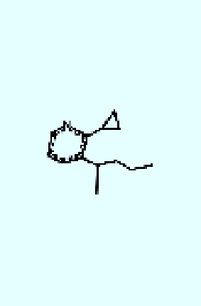 CCCC(C)c1cccnc1C1CC1